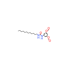 CCCCCCCCCCCCNC(=O)Nc1cc(OC=O)cc(OC=O)c1